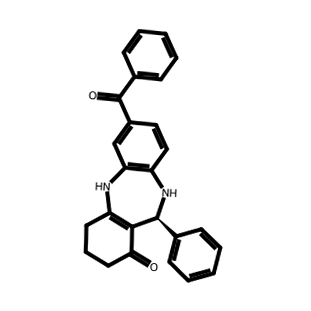 O=C1CCCC2=C1[C@H](c1ccccc1)Nc1ccc(C(=O)c3ccccc3)cc1N2